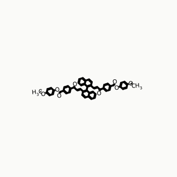 COc1ccc(OC(=O)c2ccc(C(=O)/C=C/c3ccc4ccccc4c3-c3c(/C=C/C(=O)c4ccc(C(=O)Oc5ccc(OC)cc5)cc4)ccc4ccccc34)cc2)cc1